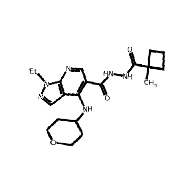 CCn1ncc2c(NC3CCOCC3)c(C(=O)NNC(=O)C3(C)CCC3)cnc21